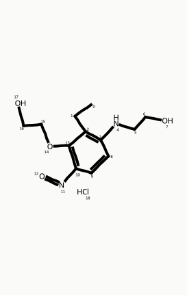 CCc1c(NCCO)ccc(N=O)c1OCCO.Cl